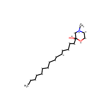 CCCCCCCCCCCCCCCC1(O)CN(C)CCO1